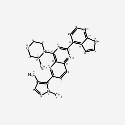 Cc1cnn(C)c1-c1ccc2nc(-c3ccnc4[nH]ccc34)nc(N3CCOC[C@@H]3C)c2n1